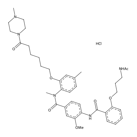 COc1cc(C(=O)N(C)c2ccc(C)cc2OCCCCCC(=O)N2CCN(C)CC2)ccc1NC(=O)c1ccccc1OCCCNC(C)=O.Cl